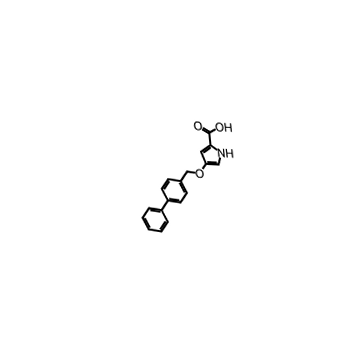 O=C(O)c1cc(OCc2ccc(-c3ccccc3)cc2)c[nH]1